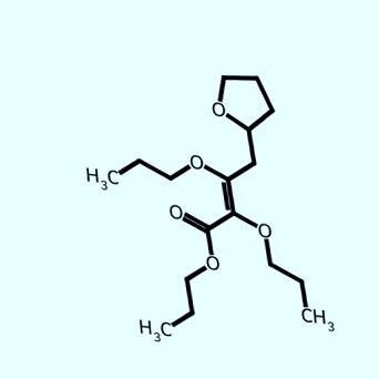 CCCOC(=O)C(OCCC)=C(CC1CCCO1)OCCC